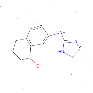 OC1CCCc2ccc(NC3=NCCN3)cc21